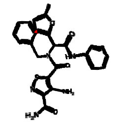 Cc1ccc(C(C(=O)Nc2ccccc2)N(Cc2ccccc2)C(=O)c2snc(C(N)=O)c2N)o1